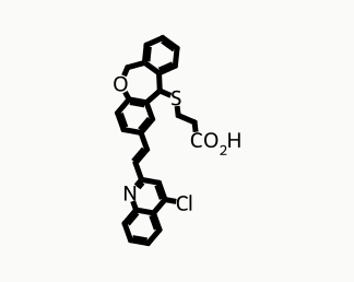 O=C(O)CCSC1c2ccccc2COc2ccc(C=Cc3cc(Cl)c4ccccc4n3)cc21